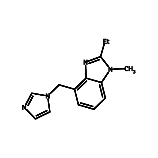 CCc1nc2c(Cn3ccnc3)cccc2n1C